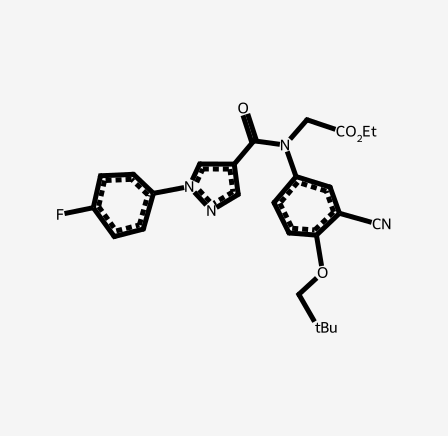 CCOC(=O)CN(C(=O)c1cnn(-c2ccc(F)cc2)c1)c1ccc(OCC(C)(C)C)c(C#N)c1